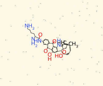 CC(C)C[C@@]12O[C@]13c1cc(O)c4c(c1N[C@H]2C#C/C=C\C#C[C@H]3O)C(=O)c1ccc(NC(=O)[C@@H](N)CCCCN)cc1C4=O